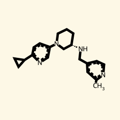 Cc1cc(CN[C@H]2CCCN(c3ccc(C4CC4)nc3)C2)ccn1